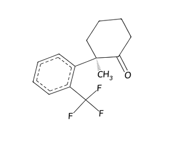 C[C@]1(c2ccccc2C(F)(F)F)CCCCC1=O